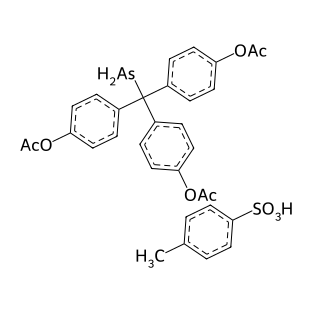 CC(=O)Oc1ccc(C([AsH2])(c2ccc(OC(C)=O)cc2)c2ccc(OC(C)=O)cc2)cc1.Cc1ccc(S(=O)(=O)O)cc1